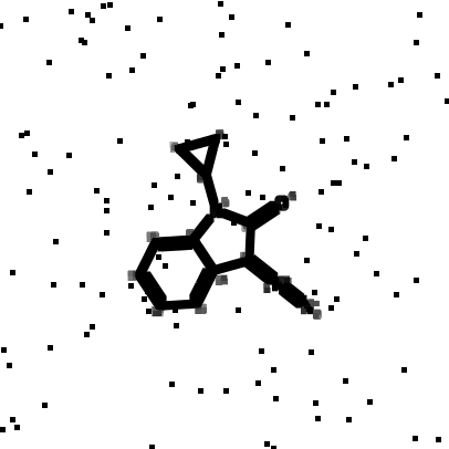 [N-]=[N+]=C1C(=O)N(C2CC2)c2ccccc21